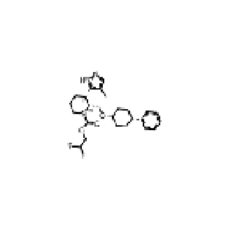 Cc1cn[nH]c1[C@H]1CCCN(C(=O)OCC(F)F)[C@H]1CO[C@H]1CC[C@@H](c2ccccc2)CC1